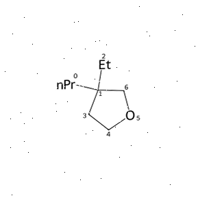 CCCC1(CC)CCOC1